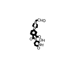 O=CCN1CCN(c2ccc3c(c2)C(=O)N(C2CCC(=O)NC2O)C3=O)CC1